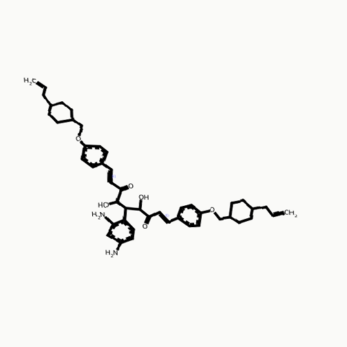 C=CCC1CCC(COc2ccc(/C=C/C(=O)C(O)C(c3ccc(N)cc3N)C(O)C(=O)/C=C/c3ccc(OCC4CCC(CC=C)CC4)cc3)cc2)CC1